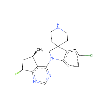 C[C@@H]1C[C@H](F)c2ncnc(N3CC4(CCNCC4)c4cc(Cl)ccc43)c21